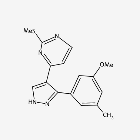 COc1cc(C)cc(-c2n[nH]cc2-c2ccnc(SC)n2)c1